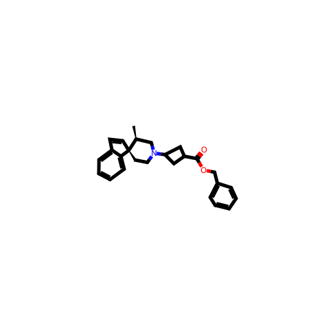 C[C@H]1CN(C2CC(C(=O)OCc3ccccc3)C2)CC[C@@]12C=Cc1ccccc12